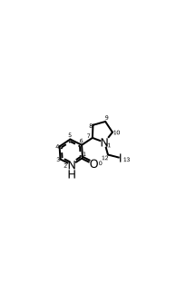 O=c1[nH]cccc1C1CCCN1CI